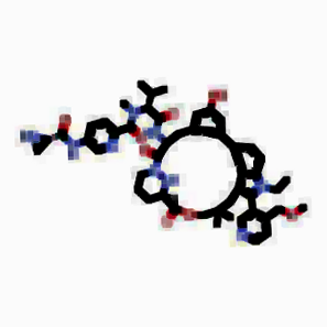 CCn1c(-c2cnccc2COC)c2c3cc(ccc31)-c1cc(O)cc(c1)C[C@H](NC(=O)[C@H](C(C)C)N(C)C(=O)c1ccc(NC(=O)[C@@H]3CN3)cn1)C(=O)N1CCC[C@H](N1)C(=O)OCC(C)(C)C2